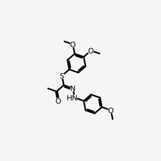 COc1ccc(N/N=C(/Sc2ccc(OC)c(OC)c2)C(C)=O)cc1